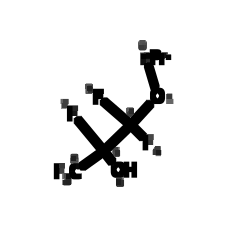 CC[CH]OC(F)(F)C(O)(F)C(F)(F)F